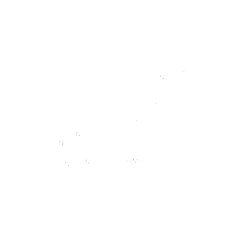 COC1CCCCC1n1nnnc1SCCCC(=O)N(C)C1CCCCC1